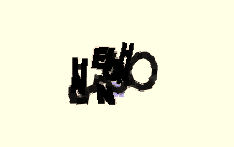 CCOC1=CC(c2ccc[nH]2)=N/C1=C/c1[nH]c2cc1CCCCCCC2